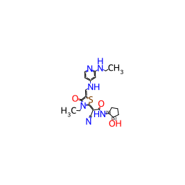 CCNc1cc(NC=c2sc(=C(C#N)C(=O)N[C@H]3CCC[C@@H]3O)n(CC)c2=O)ccn1